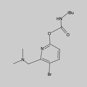 CN(C)Cc1nc(OC(=O)NC(C)(C)C)ccc1Br